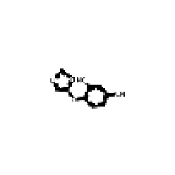 N#Cc1ccc(Oc2co[c]n2)c(C#N)c1